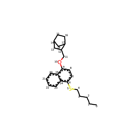 CCCCCSc1ccc(OCC2CC3CCC2C3)c2ccccc12